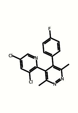 Cc1nnc(C)c(-c2ncc(Cl)cc2Cl)c1-c1ccc(F)cc1